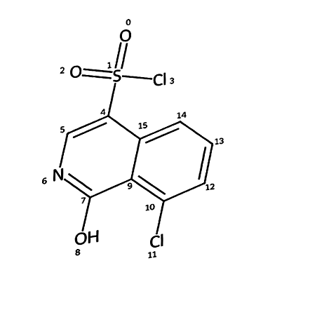 O=S(=O)(Cl)c1cnc(O)c2c(Cl)cccc12